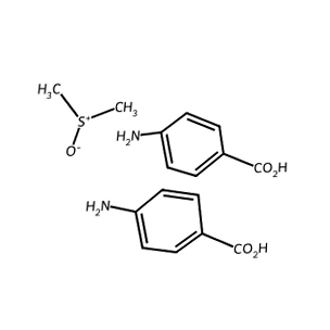 C[S+](C)[O-].Nc1ccc(C(=O)O)cc1.Nc1ccc(C(=O)O)cc1